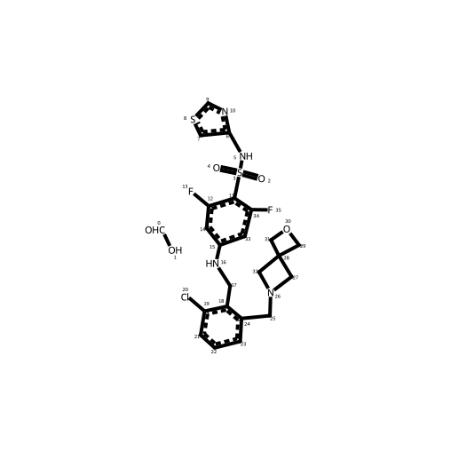 O=CO.O=S(=O)(Nc1cscn1)c1c(F)cc(NCc2c(Cl)cccc2CN2CC3(COC3)C2)cc1F